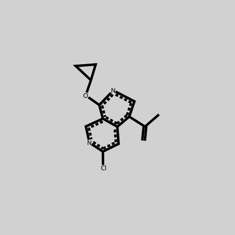 C=C(C)c1cnc(OC2CC2)c2cnc(Cl)cc12